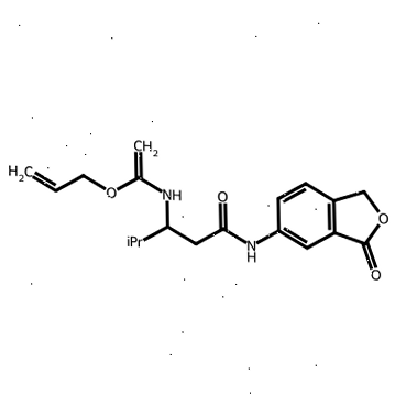 C=CCOC(=C)NC(CC(=O)Nc1ccc2c(c1)C(=O)OC2)C(C)C